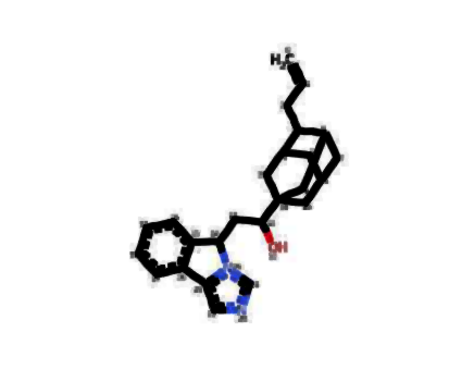 C=CCC1C2CC3CC1CC(C(O)CC1c4ccccc4-c4cncn41)(C3)C2